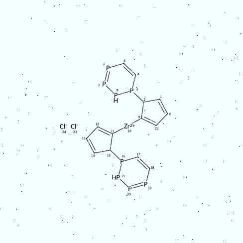 C1=CC(P2C=CP=PP2)[C]([Zr+2][C]2=CC=CC2P2C=CP=PP2)=C1.[Cl-].[Cl-]